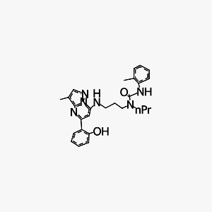 CCCN(CCCNc1cc(-c2ccccc2O)nc2c(C)cnn12)C(=O)Nc1ccccc1C